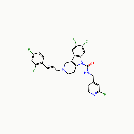 O=C(NCc1ccnc(F)c1)n1c2c(c3cc(F)c(Cl)cc31)CN(C/C=C/c1ccc(F)cc1F)CC2